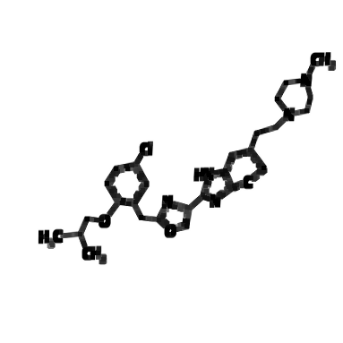 CC(C)COc1ccc(Cl)cc1Cc1nc(-c2nc3ccc(CCN4CCN(C)CC4)cc3[nH]2)co1